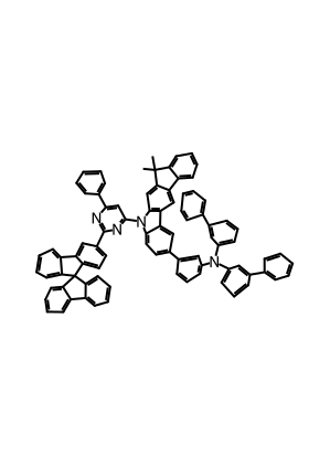 CC1(C)c2ccccc2-c2cc3c4cc(-c5cccc(N(c6cccc(-c7ccccc7)c6)c6cccc(-c7ccccc7)c6)c5)ccc4n(-c4cc(-c5ccccc5)nc(-c5ccc6c(c5)-c5ccccc5C65c6ccccc6-c6ccccc65)n4)c3cc21